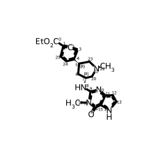 CCOC(=O)c1ccc([C@H]2C[C@@H](Nc3nc4cc[nH]c4c(=O)n3C)CN(C)C2)cc1